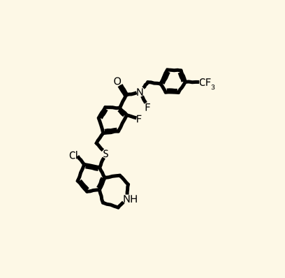 O=C(c1ccc(CSc2c(Cl)ccc3c2CCNCC3)cc1F)N(F)Cc1ccc(C(F)(F)F)cc1